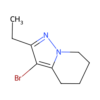 CCc1nn2c(c1Br)CCCC2